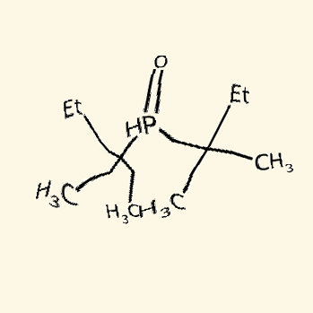 CCC(C)(C)[PH](=O)C(C)(C)CC